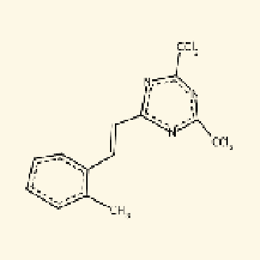 Cc1ccccc1/C=C/c1nc(C(Cl)(Cl)Cl)nc(C(Cl)(Cl)Cl)n1